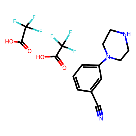 N#Cc1cccc(N2CCNCC2)c1.O=C(O)C(F)(F)F.O=C(O)C(F)(F)F